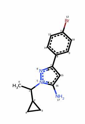 CC(C1CC1)n1nc(-c2ccc(Br)cc2)cc1N